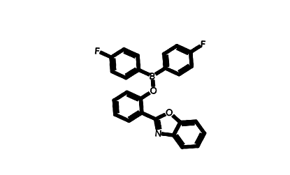 Fc1ccc(B(Oc2ccccc2-c2nc3ccccc3o2)c2ccc(F)cc2)cc1